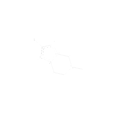 CN1CCc2nc(I)oc2C1